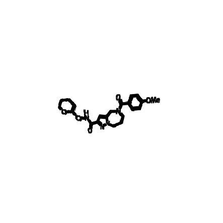 COc1ccc(C(=O)N2CCCn3nc(C(=O)NOC4CCCCO4)cc3C2)cc1